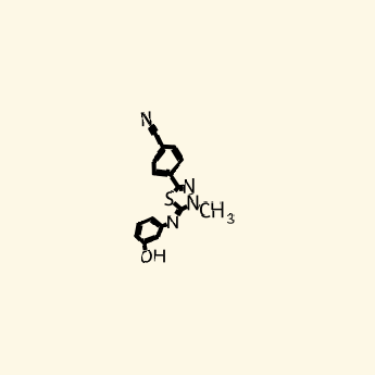 Cn1nc(-c2ccc(C#N)cc2)sc1=Nc1cccc(O)c1